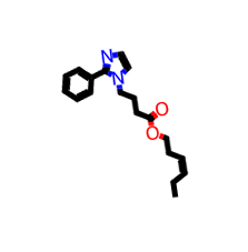 CC/C=C\CCOC(=O)CCCn1ccnc1-c1ccccc1